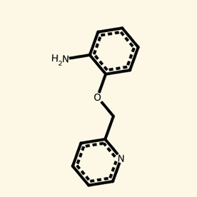 Nc1ccccc1OCc1ccccn1